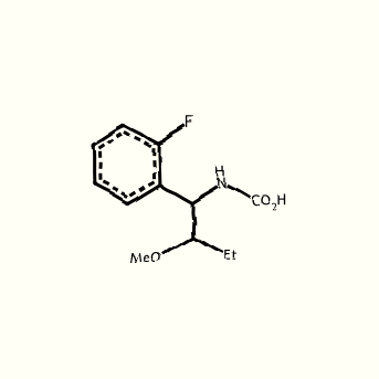 CCC(OC)C(NC(=O)O)c1ccccc1F